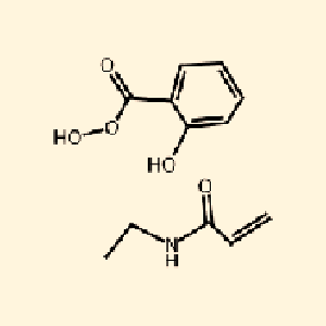 C=CC(=O)NCC.O=C(OO)c1ccccc1O